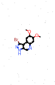 COc1cc2ncc3[nH]nc(Br)c3c2cc1OC